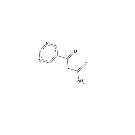 NC(=O)CC(=O)c1cncnc1